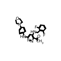 CC(=O)c1nnc(Nc2ccc(N3CCOCC3)cc2)cc1NCc1c(F)cccc1F